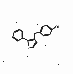 Oc1ccc(Cc2ccsc2-c2ccccc2)cc1